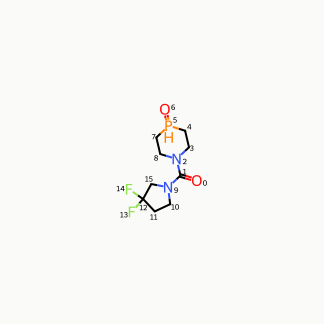 O=C(N1CC[PH](=O)CC1)N1CCC(F)(F)C1